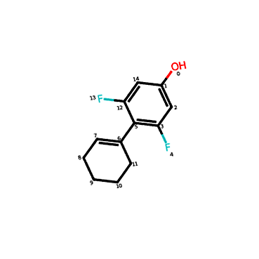 Oc1cc(F)c(C2=CCCCC2)c(F)c1